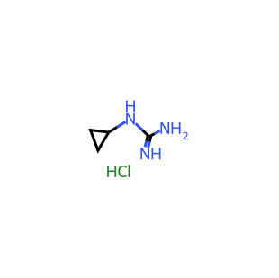 Cl.N=C(N)NC1CC1